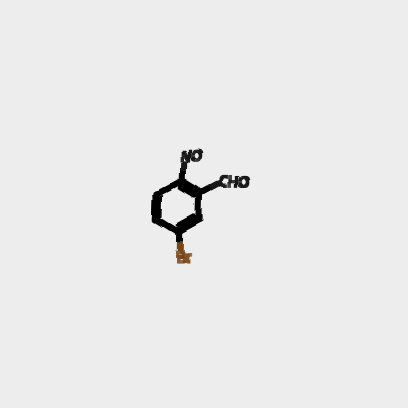 O=Cc1cc(Br)ccc1N=O